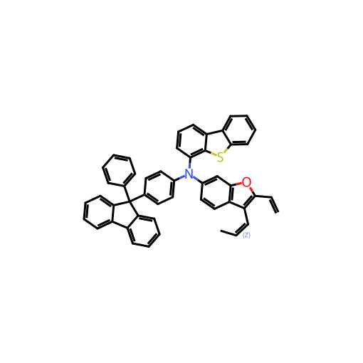 C=Cc1oc2cc(N(c3ccc(C4(c5ccccc5)c5ccccc5-c5ccccc54)cc3)c3cccc4c3sc3ccccc34)ccc2c1/C=C\C